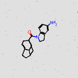 Nc1ccc2c(c1)CCN2C(=O)C12CC=C3CCC(C1)C3C2